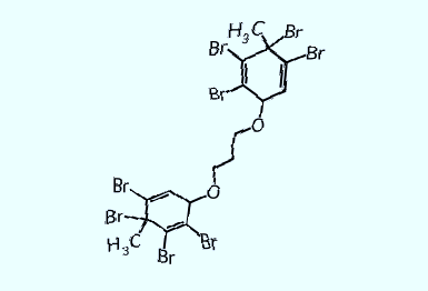 CC1(Br)C(Br)=CC(OCCCOC2C=C(Br)C(C)(Br)C(Br)=C2Br)C(Br)=C1Br